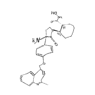 Cc1cc(COc2ccc(C3(N)CCN([C@@H]4CCCC[C@H]4C(=O)NO)C3=O)cc2)c2ccccc2n1